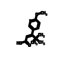 COc1ccc(/C(=C/C(=O)O)C(C)(C)C)cn1